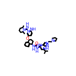 CC(C)C(=N)/C=C(/NC(=O)NC1CCC(Oc2ccc(=N)n(C(=N)N3C(C)CCCC3C)c2)c2ccccc21)Nc1cnn(CCN2CCCC2)c1